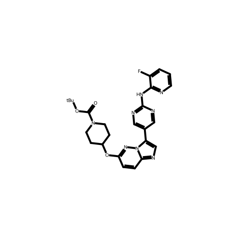 CC(C)(C)OC(=O)N1CCC(Oc2ccc3ncc(-c4cnc(Nc5ncccc5F)nc4)n3n2)CC1